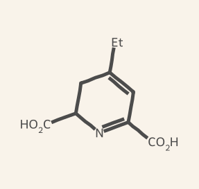 CCC1=CC(C(=O)O)=NC(C(=O)O)C1